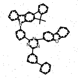 CC1(C)c2ccccc2-c2cc3c4ccccc4n(-c4cccc(-c5nc(-c6cccc(-c7ccccc7)c6)nc(-c6ccc7c(c6)oc6ccccc67)n5)c4)c3cc21